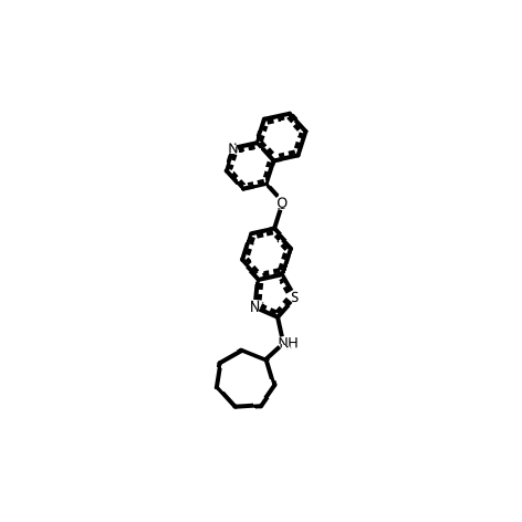 c1ccc2c(Oc3ccc4nc(NC5CCCCCC5)sc4c3)ccnc2c1